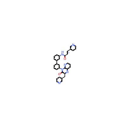 O=C(/C=C/c1cccnc1)Nc1cccc(-c2cccc(-n3c(=O)c(Cc4cccnc4)nc4cccnc43)c2)c1